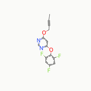 CC#CCOc1cc(Oc2c(F)cc(F)cc2F)ncn1